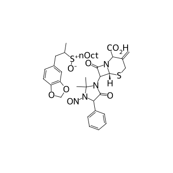 C=C1CS[C@@H]2C(N3C(=O)C(c4ccccc4)N(N=O)C3(C)C)C(=O)N2C1C(=O)O.CCCCCCCC[S+]([O-])C(C)Cc1ccc2c(c1)OCO2